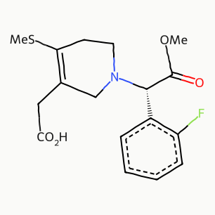 COC(=O)[C@H](c1ccccc1F)N1CCC(SC)=C(CC(=O)O)C1